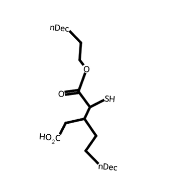 CCCCCCCCCCCCOC(=O)C(S)C(CCCCCCCCCCCC)CC(=O)O